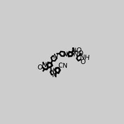 Cc1cc2c(N3CCN(C)c4ccc(C#N)cc43)cc(C3CCN(CC4CCN(c5ccc6c(c5)n(C)c(=O)n6C5CCC(=O)NC5=O)CC4)CC3)cc2n(C)c1=O